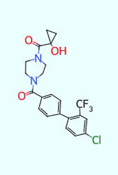 O=C(c1ccc(-c2ccc(Cl)cc2C(F)(F)F)cc1)N1CCN(C(=O)C2(O)CC2)CC1